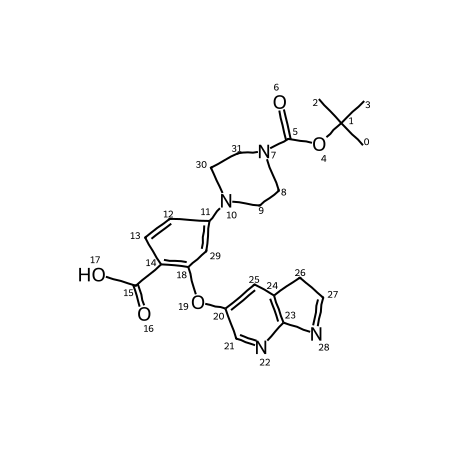 CC(C)(C)OC(=O)N1CCN(c2ccc(C(=O)O)c(Oc3cnc4c(c3)CC=N4)c2)CC1